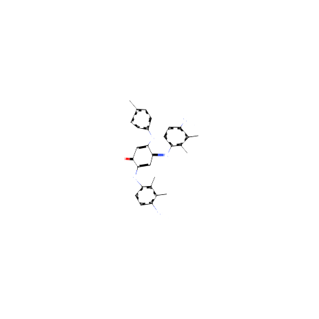 Cc1ccc(NC2=CC(=O)C(Nc3ccc(N)c(C)c3C)=C/C2=N/c2ccc(N)c(C)c2C)cc1